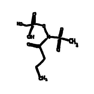 CCCC(=O)N(OP(=O)(O)O)S(C)(=O)=O